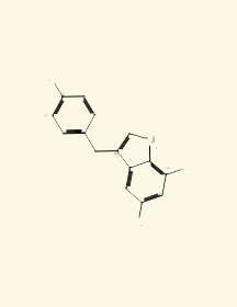 Brc1ccc(Cc2c[nH]c3c(Br)cc(Br)cc23)cc1